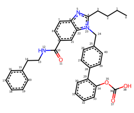 CCCCc1nc2ccc(C(=O)NCCc3ccccc3)cc2n1Cc1ccc(-c2ccccc2OC(=O)O)cc1